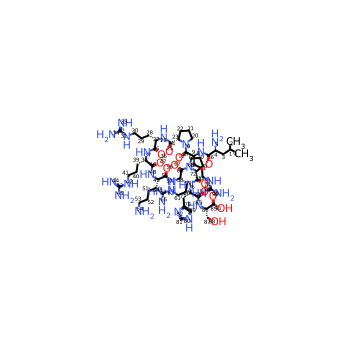 CC(C)C[C@H](N)C(=O)N[C@@H](CCCNC(=N)N)C(=O)N1CCC[C@H]1C(=O)N[C@@H](CCCNC(=N)N)C(=O)N[C@@H](CCCNC(=N)N)C(=O)N[C@@H](CCCCN)C(=O)N[C@@H](CCCNC(=N)N)C(=O)N1CCC[C@H]1C(=O)N[C@@H](Cc1c[nH]cn1)C(=O)N[C@@H](CO)C(=O)O